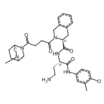 Cc1cc(NC(=O)[C@H](CCN)NC(=O)[C@@H]2Cc3ccccc3CN2C(=O)CCC(=O)N2CC3CCC2CN3C)ccc1Cl